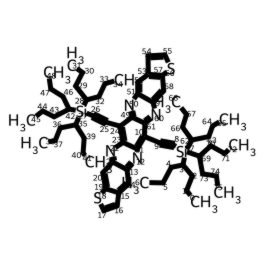 CCCC(CCC)[Si](C#Cc1c2nc3cc4ccsc4cc3nc2c(C#C[Si](C(CCC)CCC)(C(CCC)CCC)C(CCC)CCC)c2nc3cc4ccsc4cc3nc12)(C(CCC)CCC)C(CCC)CCC